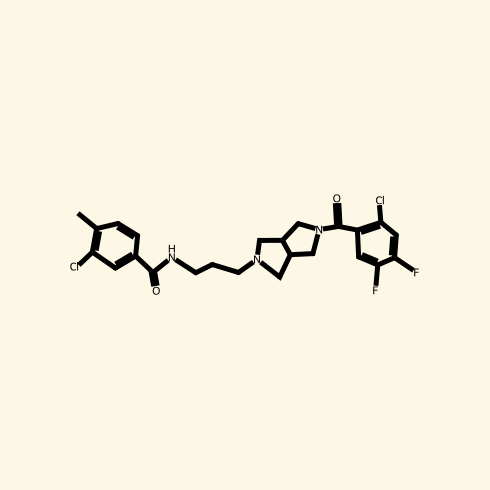 Cc1ccc(C(=O)NCCCN2CC3CN(C(=O)c4cc(F)c(F)cc4Cl)CC3C2)cc1Cl